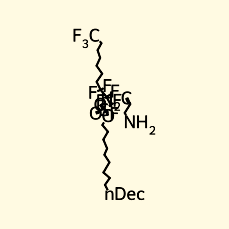 C=CCN.CCCCCCCCCCCCCCCCCCCOS(=O)(=O)C(F)(F)C(F)(F)C(F)(F)CCCCCCC(F)(F)F